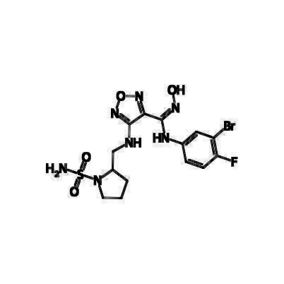 NS(=O)(=O)N1CCCC1CNc1nonc1C(=NO)Nc1ccc(F)c(Br)c1